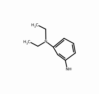 CCN(CC)c1cccc([NH])c1